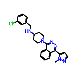 Cn1nccc1-c1nnc(N2CCC(NCc3cccc(Cl)c3)CC2)c2ccccc12